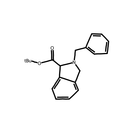 CC(C)(C)OC(=O)C1c2ccccc2CN1Cc1ccccc1